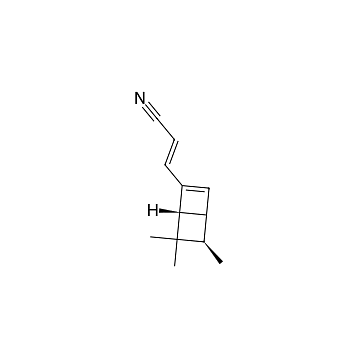 C[C@@H]1C2C=C(/C=C/C#N)[C@H]2C1(C)C